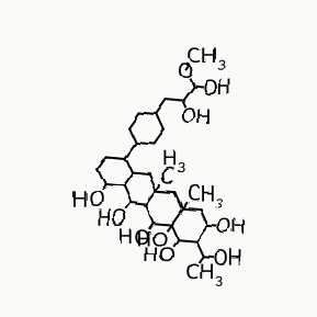 COC(O)C(O)CC1CCC(C2CCC(O)C3C(O)C4C(O)C5(O)C(O)C(C(C)O)C(O)CC5(C)CC4(C)CC23)CC1